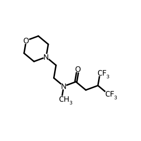 CN(CCN1CCOCC1)C(=O)CC(C(F)(F)F)C(F)(F)F